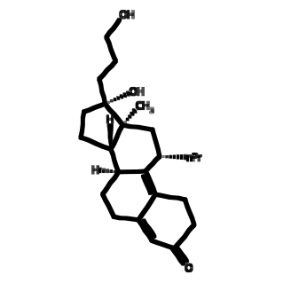 CCC[C@H]1C[C@@]2(C)[C@@H](CC[C@@]2(O)CCCO)[C@@H]2CCC3=CC(=O)CCC3=C12